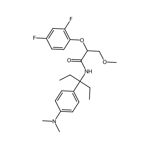 CCC(CC)(NC(=O)C(COC)Oc1ccc(F)cc1F)c1ccc(N(C)C)cc1